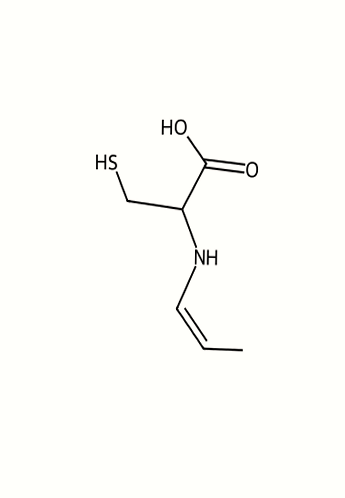 C/C=C\NC(CS)C(=O)O